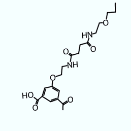 CCCOCCNC(=O)CCC(=O)NCCOc1cc(C(C)=O)cc(C(=O)O)c1